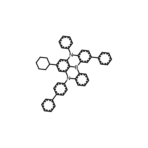 c1ccc(-c2ccc(N3c4ccccc4B4c5cc(-c6ccccc6)ccc5N(c5ccccc5)c5cc(C6CCCCC6)cc3c54)cc2)cc1